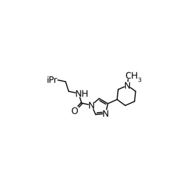 CC(C)CCNC(=O)n1cnc(C2CCCN(C)C2)c1